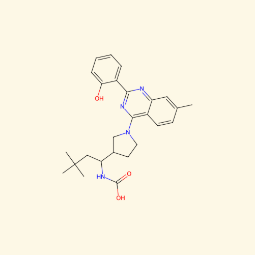 Cc1ccc2c(N3CCC(C(CC(C)(C)C)NC(=O)O)C3)nc(-c3ccccc3O)nc2c1